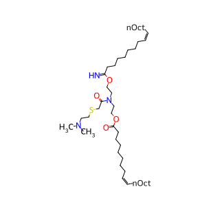 CCCCCCCC/C=C\CCCCCCCC(=N)OCCN(CCOC(=O)CCCCCCC/C=C\CCCCCCCC)C(=O)CSCCN(C)C